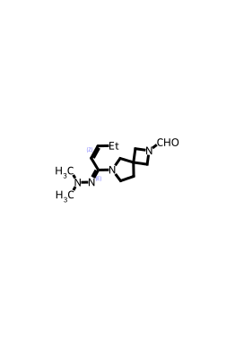 CC/C=C\C(=N/N(C)C)N1CCC2(CN(C=O)C2)C1